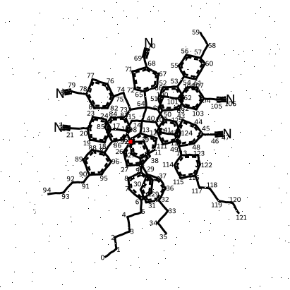 CCCCCCc1ccc(-c2ccc(C(CC(c3ccc(C#N)cc3)c3ccc(-c4ccc(CCC)cc4)cc3)(C(Cc3ccc(C#N)cc3)c3ccc(-c4ccc(CC)cc4)cc3)C(c3ccc(C#N)cc3)(C(Cc3ccc(C#N)cc3)c3ccc(-c4ccc(CCCC)cc4)cc3)C(Cc3ccc(C#N)cc3)c3ccc(-c4ccc(CCCCC)cc4)cc3)cc2)cc1